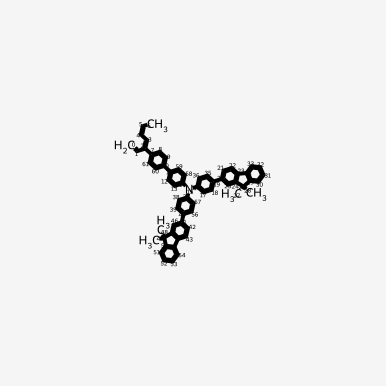 C=C/C(=C\C=C/C)c1ccc(-c2ccc(N(c3ccc(-c4ccc5c(c4)C(C)(C)c4ccccc4-5)cc3)c3ccc(-c4ccc5c(c4)C(C)(C)c4ccccc4-5)cc3)cc2)cc1